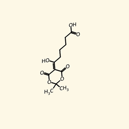 CC1(C)OC(=O)C(=C(O)CCCCC(=O)O)C(=O)O1